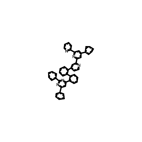 c1ccc(-c2cc(-c3ccccn3)nc(-c3cc(-c4ccccc4-c4ccccc4-c4cc(-c5ccccc5)nc(-c5ccccc5)n4)ccn3)c2)cc1